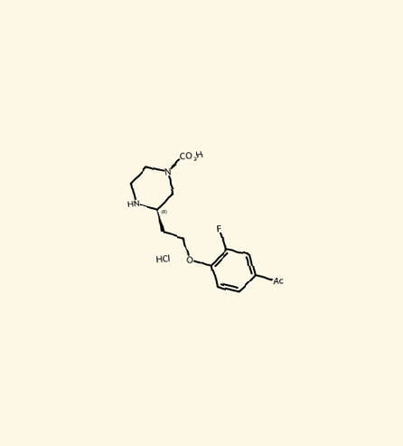 CC(=O)c1ccc(OCC[C@@H]2CN(C(=O)O)CCN2)c(F)c1.Cl